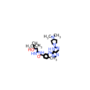 Cc1ccc(C(=O)NC(=N)/C=C(\O)C(C)(C)C)cc1Nc1ncnc2cnc(N3CCC(N(C)C)CC3)nc12